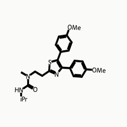 COc1ccc(-c2nc(CCN(C)C(=O)NC(C)C)sc2-c2ccc(OC)cc2)cc1